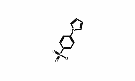 O=S(=O)(Cl)c1ccc([SH]2C=CC=C2)cc1